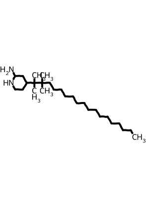 CCCCCCCCCCCCCCCCC(C)(C)C(C)(C)C1CCNC(N)C1